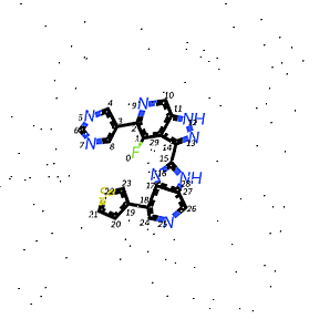 Fc1c(-c2cncnc2)ncc2[nH]nc(-c3nc4c(-c5ccsc5)cncc4[nH]3)c12